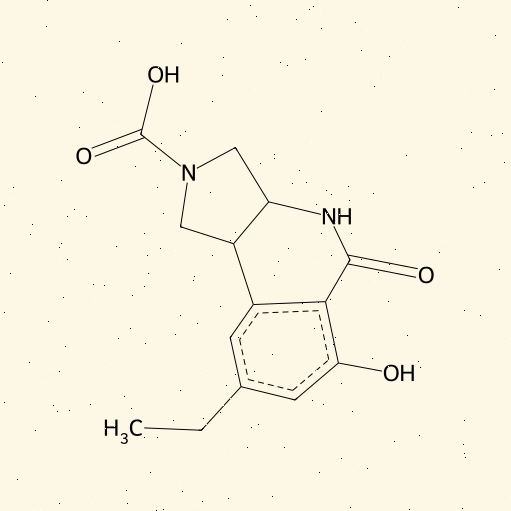 CCc1cc(O)c2c(c1)C1CN(C(=O)O)CC1NC2=O